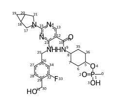 CP(=O)(O)OC1CCC(NC(=O)c2cnc(N3CC4CC4C3)nc2NCc2ccc(CO)c(F)c2)CC1